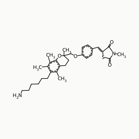 Cc1c(C)c2c(c(C)c1CCCCCCN)CCC(C)(COc1ccc(/C=C3\SC(=O)N(C)C3=O)cc1)O2